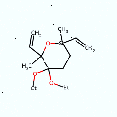 C=CC1(C)O[Si](C)(C=C)CCC1(OCC)OCC